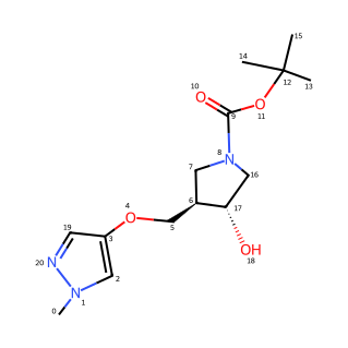 Cn1cc(OC[C@H]2CN(C(=O)OC(C)(C)C)C[C@@H]2O)cn1